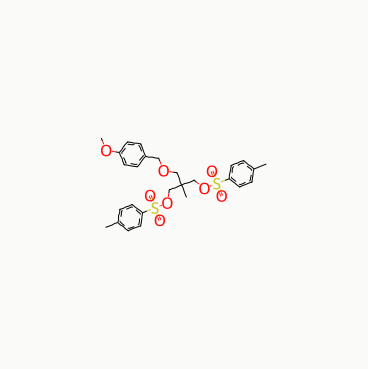 COc1ccc(COCC(C)(COS(=O)(=O)c2ccc(C)cc2)COS(=O)(=O)c2ccc(C)cc2)cc1